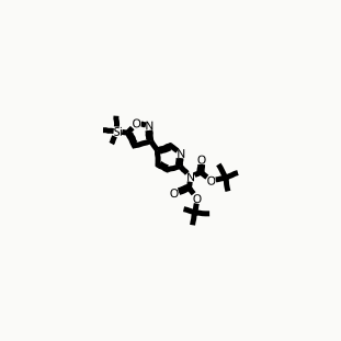 CC(C)(C)OC(=O)N(C(=O)OC(C)(C)C)c1ccc(-c2cc([Si](C)(C)C)on2)cn1